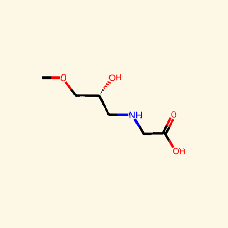 COC[C@H](O)CNCC(=O)O